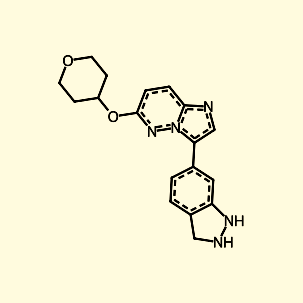 c1cc2c(cc1-c1cnc3ccc(OC4CCOCC4)nn13)NNC2